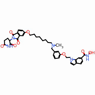 CN(CCCCCCCCOc1ccc2c(c1)C(=O)N(C1CCC(=O)NC1=O)C2=O)Cc1cccc(OCCn2ccc3ccc(C(=O)NO)cc32)c1